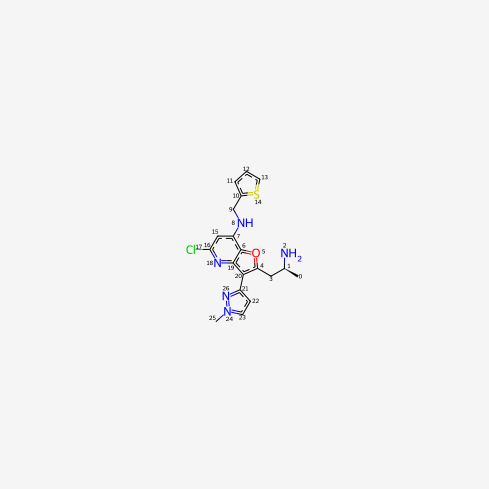 C[C@H](N)Cc1oc2c(NCc3cccs3)cc(Cl)nc2c1-c1ccn(C)n1